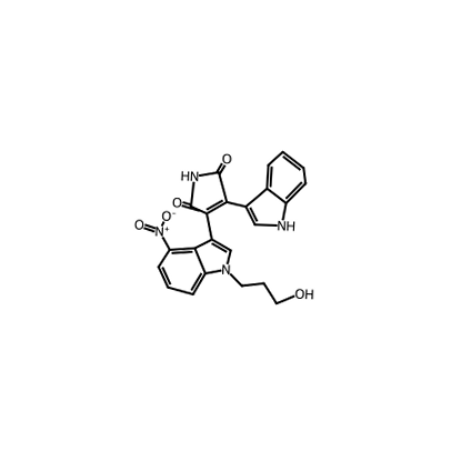 O=C1NC(=O)C(c2cn(CCCO)c3cccc([N+](=O)[O-])c23)=C1c1c[nH]c2ccccc12